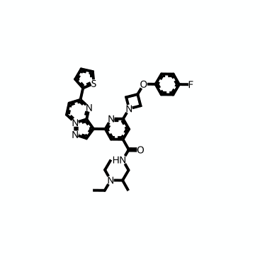 CCN(CC)C(C)CNC(=O)c1cc(-c2cnn3ccc(-c4cccs4)nc23)nc(N2CC(Oc3ccc(F)cc3)C2)c1